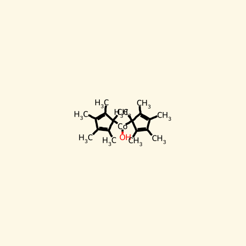 CC1=C(C)[C](C)([Co]([OH])[C]2(C)C(C)=C(C)C(C)=C2C)C(C)=C1C